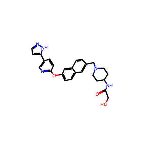 O=C(CO)NC1CCN(Cc2ccc3cc(Oc4ccc(-c5ccn[nH]5)cn4)ccc3c2)CC1